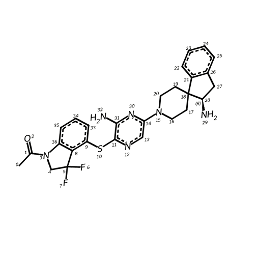 CC(=O)N1CC(F)(F)c2c(Sc3ncc(N4CCC5(CC4)c4ccccc4C[C@H]5N)nc3N)cccc21